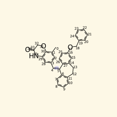 Cc1cc(/C=C2/c3ccccc3CCc3cc(OCc4ccccc4)ccc32)cc2c1OCC(=O)N2